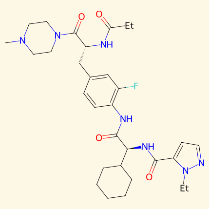 CCC(=O)N[C@H](Cc1ccc(NC(=O)[C@@H](NC(=O)c2ccnn2CC)C2CCCCC2)c(F)c1)C(=O)N1CCN(C)CC1